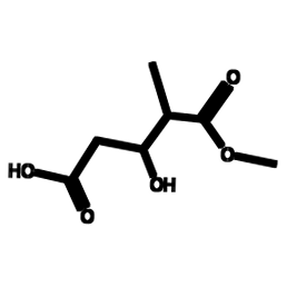 COC(=O)C(C)C(O)CC(=O)O